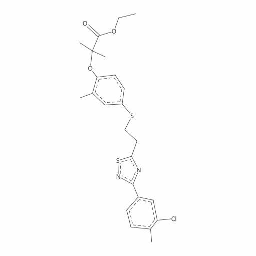 CCOC(=O)C(C)(C)Oc1ccc(SCCc2nc(-c3ccc(C)c(Cl)c3)ns2)cc1C